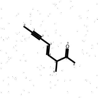 CC#C/C=C/C(C)C(C)=O